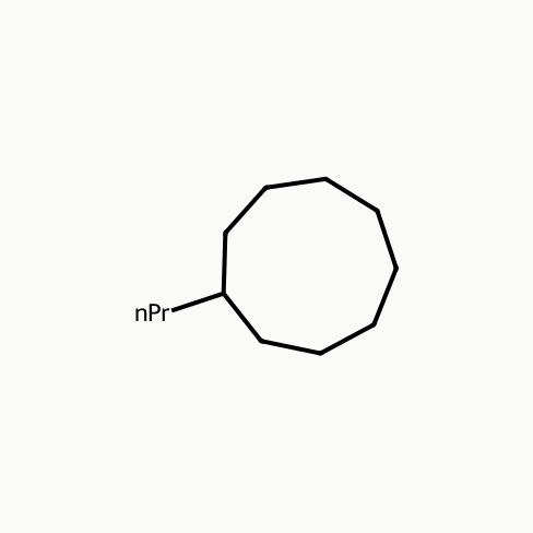 CCCC1CCCCCCCC1